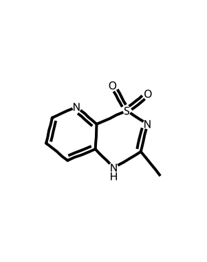 CC1=NS(=O)(=O)c2ncccc2N1